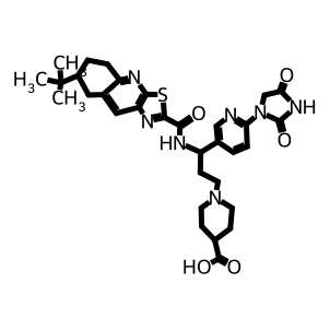 CC(C)(C)C1CCc2nc3sc(C(=O)NC(CCN4CCC(C(=O)O)CC4)c4ccc(N5CC(=O)NC5=O)nc4)nc3cc2C1